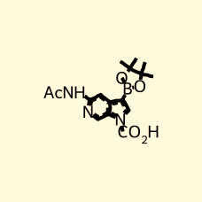 CC(=O)Nc1cc2c(B3OC(C)(C)C(C)(C)O3)cn(C(=O)O)c2cn1